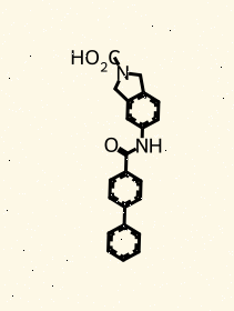 O=C(Nc1ccc2c(c1)CN(C(=O)O)C2)c1ccc(-c2ccccc2)cc1